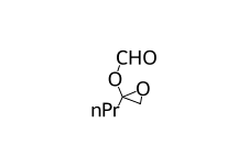 CCCC1(OC=O)CO1